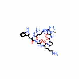 CC(C)[C@H](NC(=O)[C@@H]1CCCN1C(=O)[C@H](CCCCN)NC(=O)CNC(=O)[C@H](Cc1c[nH]c2ccccc12)NC(=O)[C@@H](N)CCCNC(=N)N)C(N)=O